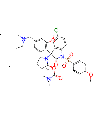 CCN(C)Cc1ccc(C2(N3CCC[C@@H]3OC(=O)N(C)C)C(=O)N(S(=O)(=O)c3ccc(OC)cc3)c3ccc(Cl)cc32)c(OC)c1